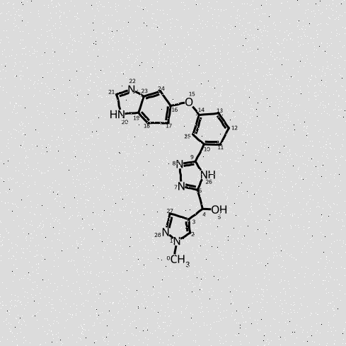 Cn1cc(C(O)c2nnc(-c3cccc(Oc4ccc5[nH]cnc5c4)c3)[nH]2)cn1